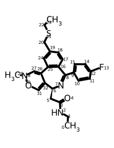 CCNC(=O)C[C@@H]1N=C(c2ccc(F)cc2)c2ccc(CSCC)cc2C2=CN(C)OC=C21